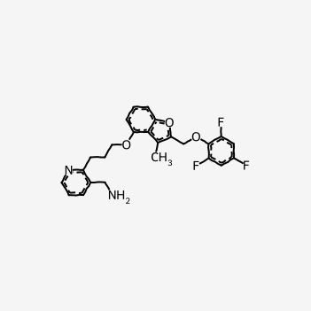 Cc1c(COc2c(F)cc(F)cc2F)oc2cccc(OCCCc3ncccc3CN)c12